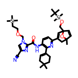 CC1(C)CC=C(c2nc(C3=CC4(CO[Si](C)(C)C(C)(C)C)C=CC(C)(C3)O4)ccc2NC(=O)c2nc(C#N)cn2COCC[Si](C)(C)C)CC1